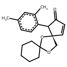 Cc1ccc(C2C(=O)C=C[C@@]23COC2(CCCCC2)O3)c(C)c1